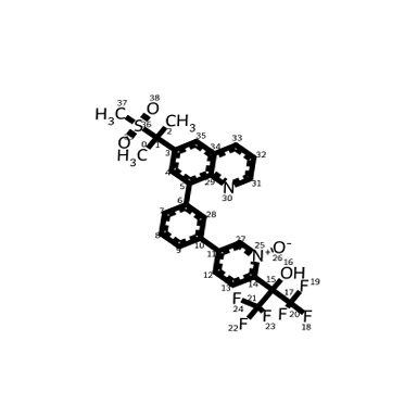 CC(C)(c1cc(-c2cccc(-c3ccc(C(O)(C(F)(F)F)C(F)(F)F)[n+]([O-])c3)c2)c2ncccc2c1)S(C)(=O)=O